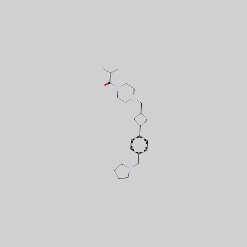 CC(C)C(=O)N1CCN(CC2CC(c3ccc(CN4CCCC4)cc3)C2)CC1